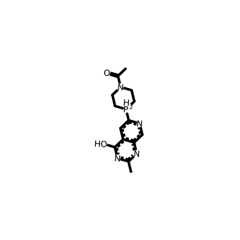 CC(=O)N1CC[PH2](c2cc3c(O)nc(C)nc3cn2)CC1